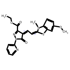 CCOC(=O)C1=NN(c2ccccn2)C(=O)/C1=C\C=C1\Sc2cc(OC)ccc2N1C